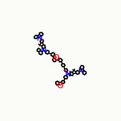 CC1(C)c2cc(N(c3ccc(-c4ccc(-c5cccc(-c6cccc7c6oc6ccc(-c8ccc(N(c9ccc%10c(c9)C(C)(C)c9cc(-n%11c%12ccccc%12c%12ccccc%12%11)ccc9-%10)c9cccc%10ccccc9%10)cc8)cc67)c5)cc4)cc3)c3ccc(-c4ccc5oc6ccccc6c5c4)cc3)ccc2-c2ccc(-n3c4ccccc4c4ccccc43)cc21